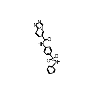 CN(c1ccccc1)S(=O)(=O)c1ccc(NC(=O)c2ccc3nncn3c2)cc1